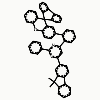 CC1(C)c2ccccc2-c2ccc(-c3cc(-c4ccccc4-c4ccc5c(c4)C4(c6ccccc6O5)c5ccccc5-c5ccccc54)nc(-c4ccccc4)n3)cc21